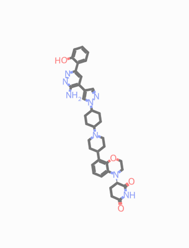 Nc1nnc(-c2ccccc2O)cc1-c1cnn(C2CCC(N3CCC(c4cccc5c4OCCN5[C@H]4CCC(=O)NC4=O)CC3)CC2)c1